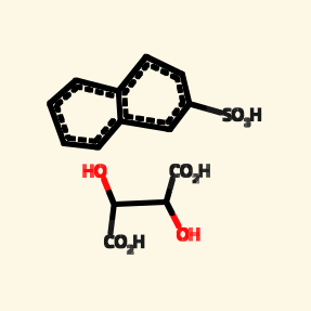 O=C(O)C(O)C(O)C(=O)O.O=S(=O)(O)c1ccc2ccccc2c1